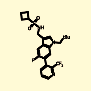 CC(C)(C)Cn1cc(CNS(=O)(=O)C2CCC2)c2cc(F)c(-c3cccnc3C(F)(F)F)cc21